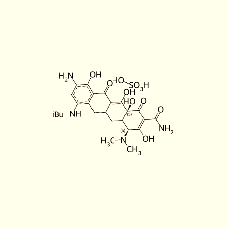 CCC(C)Nc1cc(N)c(O)c2c1CC1CC3[C@H](N(C)C)C(O)=C(C(N)=O)C(=O)[C@@]3(O)C(O)=C1C2=O.O=S(=O)(O)O